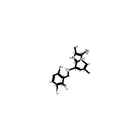 Cc1cc(OCc2c(F)ccc(F)c2F)c2nc(C)c(Br)n2c1